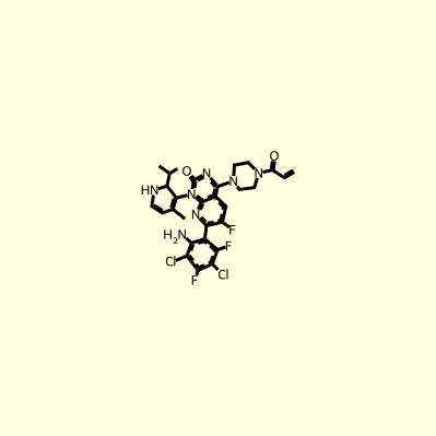 C=CC(=O)N1CCN(c2nc(=O)n(C3=C(C)C=CNC3C(C)C)c3nc(-c4c(N)c(Cl)c(F)c(Cl)c4F)c(F)cc23)CC1